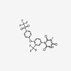 Cn1c(=O)[nH]c(=O)n(-c2ccc(Oc3ccc(S(=O)(=O)C(F)(F)F)cc3)c(C(F)(F)F)c2)c1=O